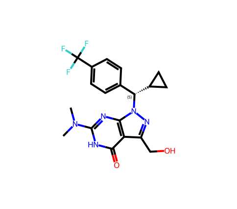 CN(C)c1nc2c(c(CO)nn2[C@H](c2ccc(C(F)(F)F)cc2)C2CC2)c(=O)[nH]1